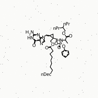 CCCCCCCCCCCCCCCCCC(=O)OCC1(CO[P@@](=O)(NC(C)C(=O)OCC(CCC)CCC)Oc2ccccc2)C/C1=C/n1cnc2c(=O)[nH]c(N)nc21